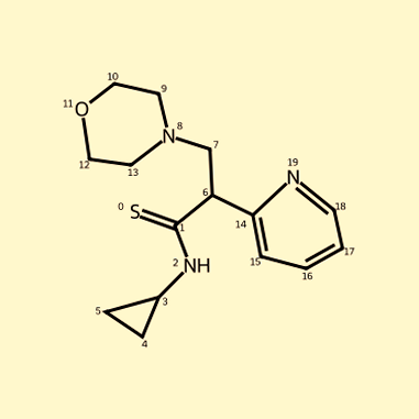 S=C(NC1CC1)C(CN1CCOCC1)c1ccccn1